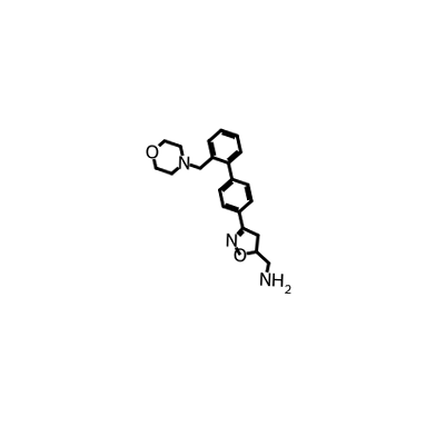 NCC1CC(c2ccc(-c3ccccc3CN3CCOCC3)cc2)=NO1